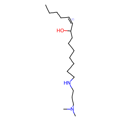 CCCC/C=C\C(O)CCCCCCCNCCCN(C)C